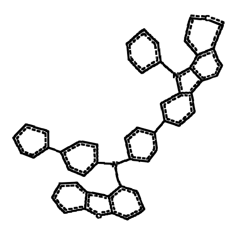 c1ccc(-c2ccc(N(c3ccc(-c4ccc5c6ccc7ccccc7c6n(-c6ccccc6)c5c4)cc3)c3cccc4oc5ccccc5c34)cc2)cc1